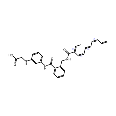 C=C\C=C/C=C/C=C\C(=C/C)C(=O)NCc1ccccc1C(=O)Nc1cccc(NCC(=O)O)c1